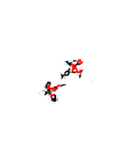 CCCCN(C(C)=O)c1ccc2c(c1)c(-c1ccccc1OC)c(OC(=O)OCC)n2Cc1ccc2nsnc2c1.CCCCNc1ccc2c(c1)c(-c1ccccc1OC)c(OC(=O)O)n2Cc1ccc2nsnc2c1